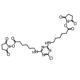 O=C(CCCCCNc1nc(Cl)nc(NCCCCCC(=O)ON2C(=O)CCC2=O)n1)ON1C(=O)CCC1=O